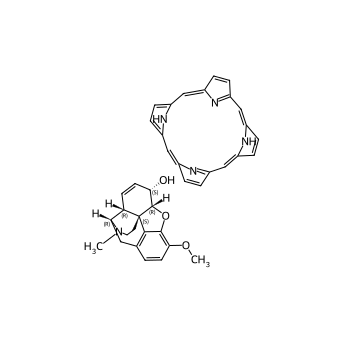 C1=Cc2cc3ccc(cc4nc(cc5ccc(cc1n2)[nH]5)C=C4)[nH]3.COc1ccc2c3c1O[C@H]1[C@@H](O)C=C[C@H]4[C@@H](C2)N(C)CC[C@@]341